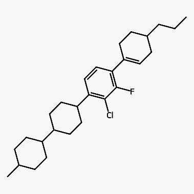 CCCC1CC=C(c2ccc(C3CCC(C4CCC(C)CC4)CC3)c(Cl)c2F)CC1